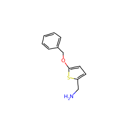 NCc1ccc(OCc2ccccc2)s1